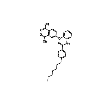 CCCCCCCc1ccc(C(=O)Nc2ccccc2Oc2ccc(C(=O)O)c(C(=O)O)c2)cc1